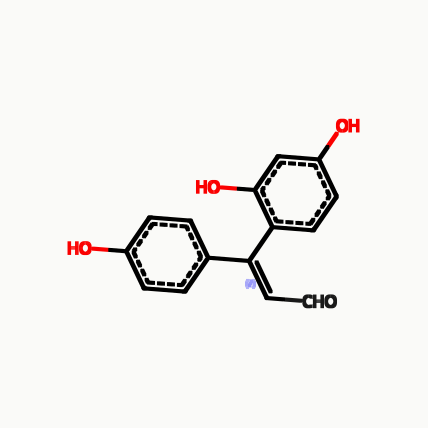 O=C/C=C(/c1ccc(O)cc1)c1ccc(O)cc1O